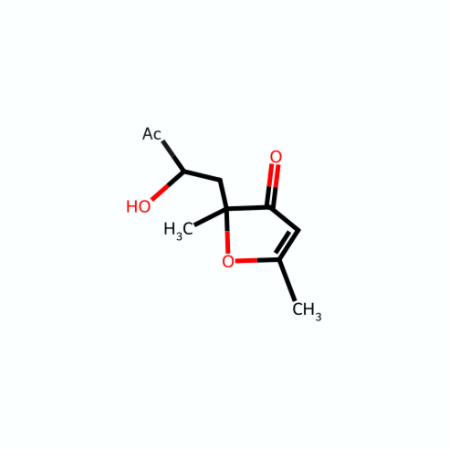 CC(=O)C(O)CC1(C)OC(C)=CC1=O